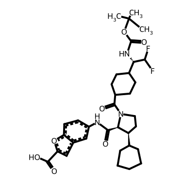 CC(C)(C)OC(=O)N[C@H](C(F)F)C1CCC(C(=O)N2CC[C@@H](C3CCCCC3)[C@H]2C(=O)Nc2ccc3oc(C(=O)O)cc3c2)CC1